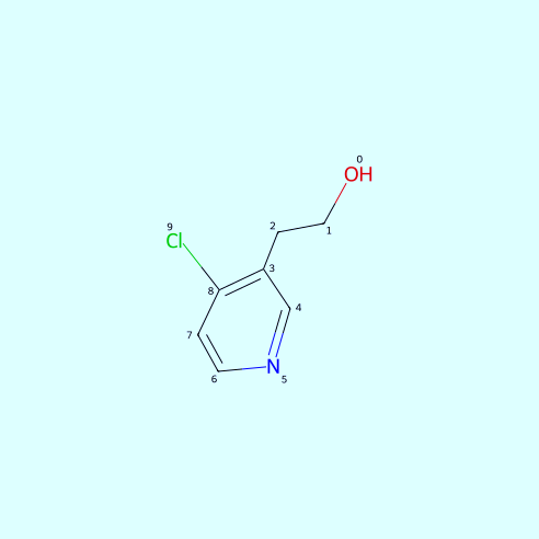 OCCc1cnccc1Cl